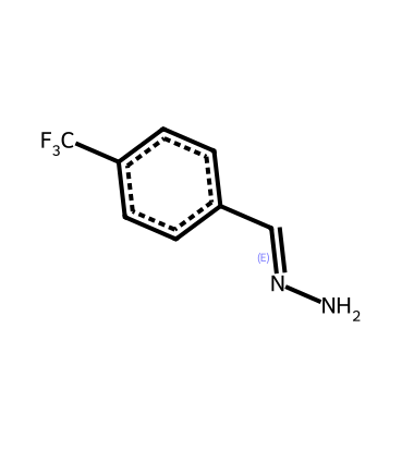 N/N=C/c1ccc(C(F)(F)F)cc1